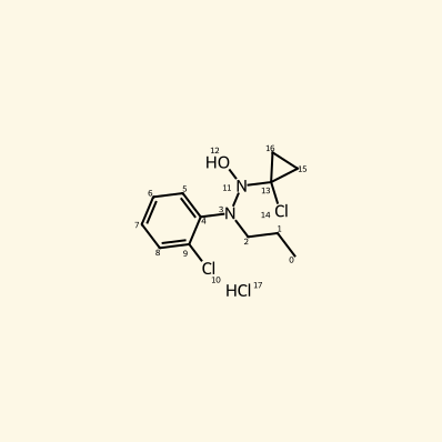 CCCN(c1ccccc1Cl)N(O)C1(Cl)CC1.Cl